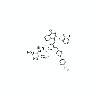 CCN1CCC(CN(Cc2ccc(-c3ccc(C(F)(F)F)cc3)cc2)C(=O)Cn2c(CCc3cccc(F)c3F)nc(=O)c3ccccc32)CC1.O=C(O)C(O)C(O)C(=O)O